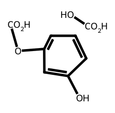 O=C(O)O.O=C(O)Oc1cccc(O)c1